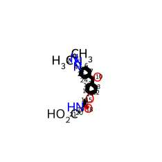 CN(C)/N=N/c1ccc(C(=O)c2ccc(OCC(=O)NCC(=O)O)cc2)cc1